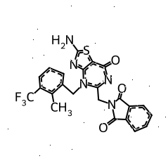 Cc1c(Cn2c(CN3C(=O)c4ccccc4C3=O)nc(=O)c3sc(N)nc32)cccc1C(F)(F)F